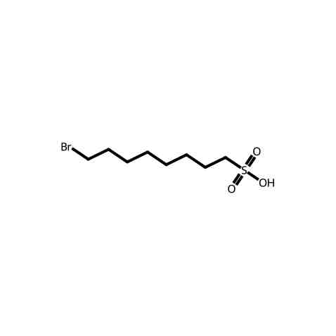 O=S(=O)(O)CCCCCCCCBr